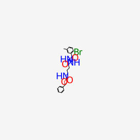 Cc1ccc(Br)c(C(=O)NNC(=O)CCCNC(=O)OCc2ccccc2)c1